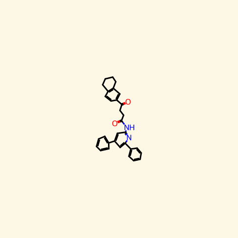 O=C(CCC(=O)c1ccc2c(c1)CCCC2)Nc1cc(-c2ccccc2)cc(-c2ccccc2)n1